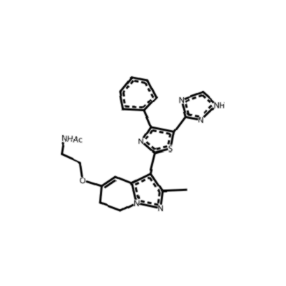 CC(=O)NCCOC1=Cc2c(-c3nc(-c4ccccc4)c(-c4nc[nH]n4)s3)c(C)nn2CC1